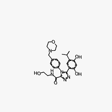 CC(C)c1cc(-c2nnc(C(=O)NCCO)n2-c2ccc(CN3CCOCC3)cc2)c(O)cc1O